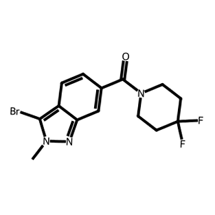 Cn1nc2cc(C(=O)N3CCC(F)(F)CC3)ccc2c1Br